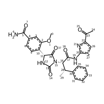 COc1cc(C(N)=O)ccc1[C@H]1NC(=O)N([C@H](C(=O)Nc2nc(C(C)=O)cs2)[C@@H](C)c2ccccc2)C1=O